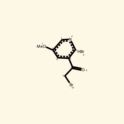 Br.COc1cncc(C(=O)CBr)c1